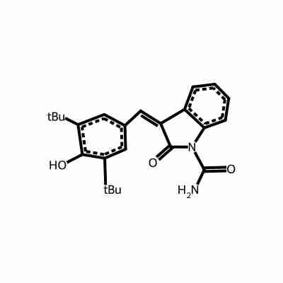 CC(C)(C)c1cc(/C=C2\C(=O)N(C(N)=O)c3ccccc32)cc(C(C)(C)C)c1O